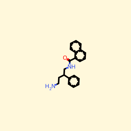 NCCC(CNC(=O)c1cccc2ccccc12)c1ccccc1